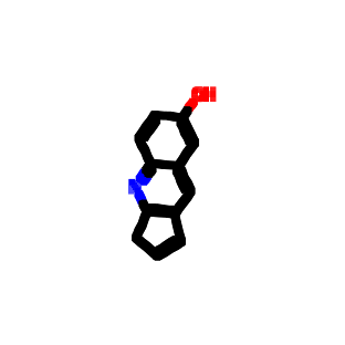 Oc1ccc2nc3c(cc2c1)C=CC3